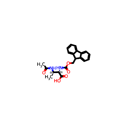 CC(=O)N[C@@H](C)[C@H](NC(=O)OCC1c2ccccc2-c2ccccc21)C(=O)O